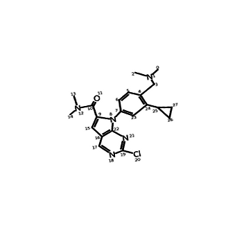 CN(C)Cc1ccc(-n2c(C(=O)N(C)C)cc3cnc(Cl)nc32)cc1C1CC1